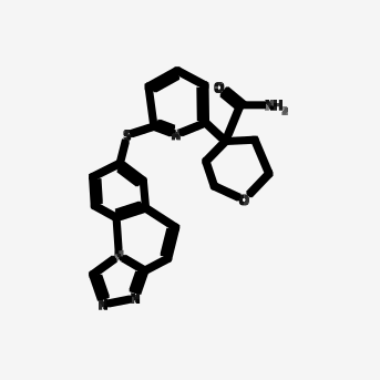 NC(=O)C1(c2cccc(Sc3ccc4c(ccc5nncn54)c3)n2)CCOCC1